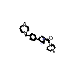 C=C(/C=C\C(=C/C)C(=O)N1CCCN(C)CC1)c1ccc(CN2CCCN(C)CC2)cc1